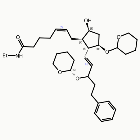 CCNC(=O)CCC/C=C\C[C@@H]1[C@@H](/C=C/C(CCc2ccccc2)O[C@H]2CCCCO2)[C@H](OC2CCCCO2)C[C@@H]1O